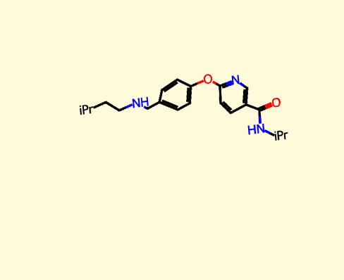 CC(C)CCNCc1ccc(Oc2ccc(C(=O)NC(C)C)cn2)cc1